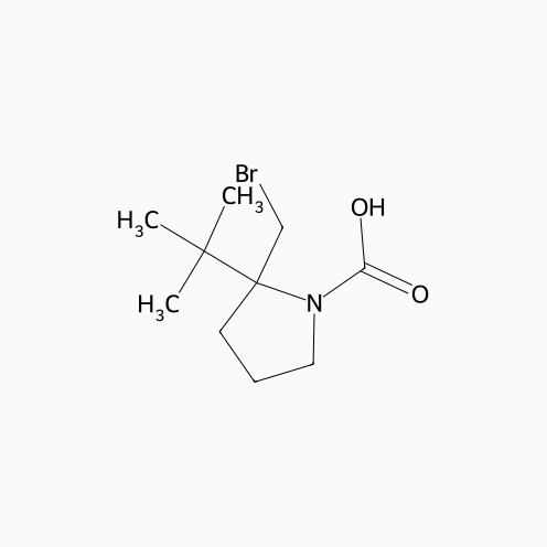 CC(C)(C)C1(CBr)CCCN1C(=O)O